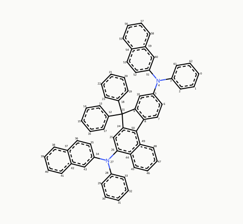 c1ccc(N(c2ccc3c(c2)C(c2ccccc2)(c2ccccc2)c2cc(N(c4ccccc4)c4ccc5ccccc5c4)c4ccccc4c2-3)c2ccc3ccccc3c2)cc1